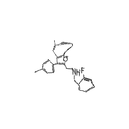 Cc1ccc(-c2c(CNCc3ccccc3F)oc3ccc(C)cc23)cc1